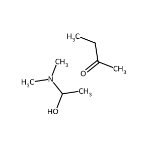 CC(O)N(C)C.CCC(C)=O